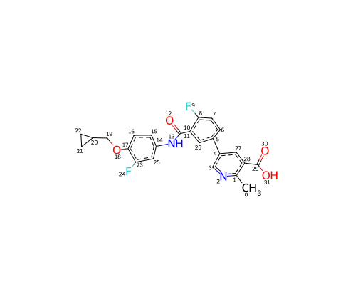 Cc1ncc(-c2ccc(F)c(C(=O)Nc3ccc(OCC4CC4)c(F)c3)c2)cc1C(=O)O